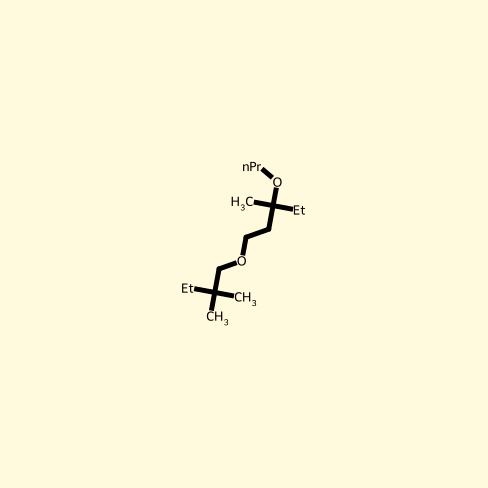 CCCOC(C)(CC)CCOCC(C)(C)CC